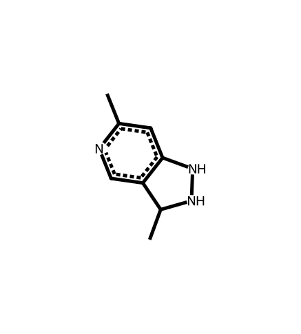 Cc1cc2c(cn1)C(C)NN2